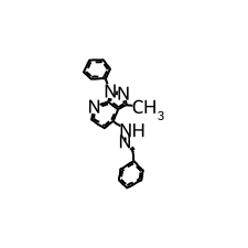 Cc1nn(-c2ccccc2)c2nccc(NN=Cc3ccccc3)c12